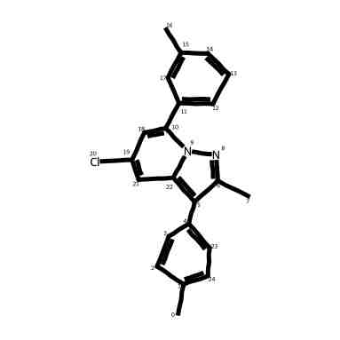 Cc1ccc(-c2c(C)nn3c(-c4cccc(C)c4)cc(Cl)cc23)cc1